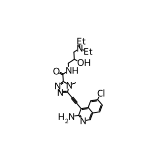 CCN(CC)CC(O)CNC(=O)c1nnc(C#Cc2c(N)ncc3ccc(Cl)cc23)n1C